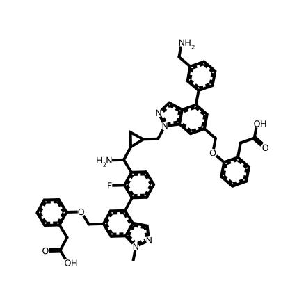 Cn1ncc2c(-c3cccc(C(N)C4CC4Cn4ncc5c(-c6cccc(CN)c6)cc(COc6ccccc6CC(=O)O)cc54)c3F)cc(COc3ccccc3CC(=O)O)cc21